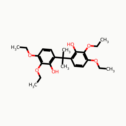 CCOc1ccc(C(C)(C)c2ccc(OCC)c(OCC)c2O)c(O)c1OCC